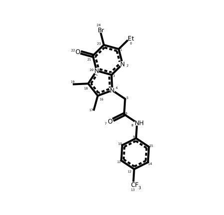 CCc1nc2n(CC(=O)Nc3ccc(C(F)(F)F)cc3)c(C)c(C)n2c(=O)c1Br